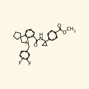 COC(=O)c1ccc(C2(NC(=O)c3cccc4c3N(Cc3ccc(F)c(F)c3)CC43CCCC3)CC2)cc1